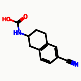 N#Cc1ccc2c(c1)CCC(NC(=O)O)C2